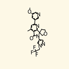 COc1cncc(-c2cc(C)c3c(n2)C2(CCOC2)N(c2cnn(CC(F)(F)F)c2)C3=O)c1